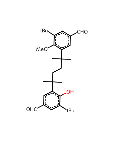 COc1c(C(C)(C)C)cc(C=O)cc1C(C)(C)CCC(C)(C)c1cc(C=O)cc(C(C)(C)C)c1O